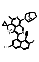 C#Cc1c(F)ccc2cc(O)cc(-c3ncc4c(N5CC6CCC(C5)N6)nc(C)c(C5(OC)CC5)c4c3F)c12